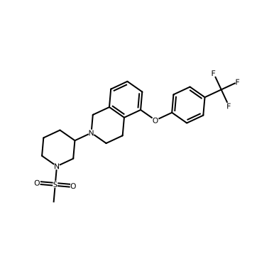 CS(=O)(=O)N1CCCC(N2CCc3c(cccc3Oc3ccc(C(F)(F)F)cc3)C2)C1